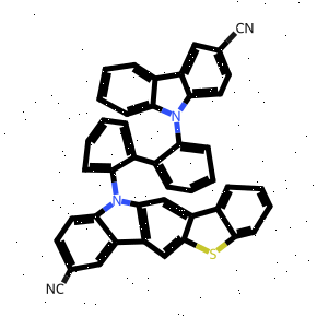 N#Cc1ccc2c(c1)c1ccccc1n2-c1ccccc1-c1ccccc1-n1c2ccc(C#N)cc2c2cc3sc4ccccc4c3cc21